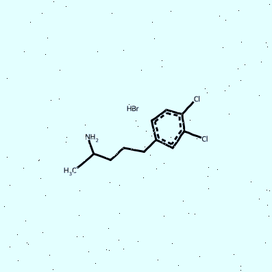 Br.CC(N)CCCc1ccc(Cl)c(Cl)c1